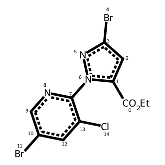 CCOC(=O)c1cc(Br)nn1-c1ncc(Br)cc1Cl